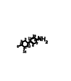 CC1=CCC(C2=CCC(N)C=C2)CC1C